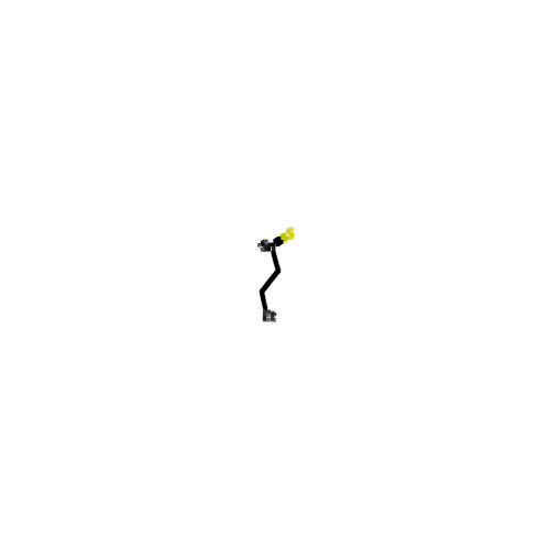 CCC[CH2][Sn]=[S]